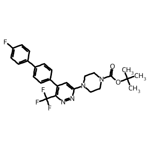 CC(C)(C)OC(=O)N1CCN(c2cc(-c3ccc(-c4ccc(F)cc4)cc3)c(C(F)(F)F)nn2)CC1